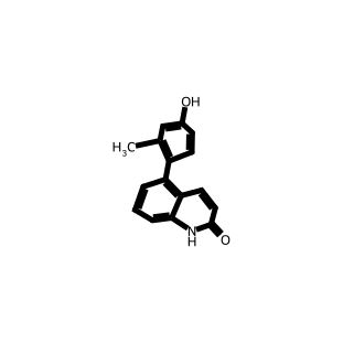 Cc1cc(O)ccc1-c1cccc2[nH]c(=O)ccc12